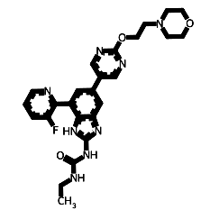 CCNC(=O)Nc1nc2cc(-c3cnc(OCCN4CCOCC4)nc3)cc(-c3ncccc3F)c2[nH]1